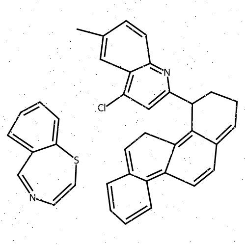 C1=CSc2ccccc2C=N1.Cc1ccc2nc(C3CCC=c4ccc5c(c43)CC=c3ccccc3=5)cc(Cl)c2c1